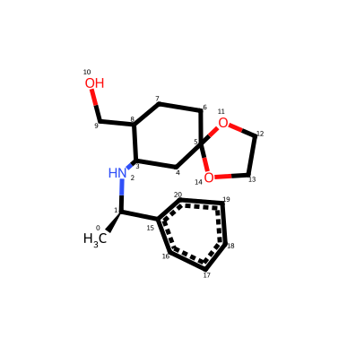 C[C@@H](NC1CC2(CCC1CO)OCCO2)c1ccccc1